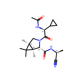 CC(=O)N[C@H](C(=O)N1C[C@H]2[C@@H]([C@H]1C(=O)N[C@@H](C)C#N)C2(C)C)C1CC1